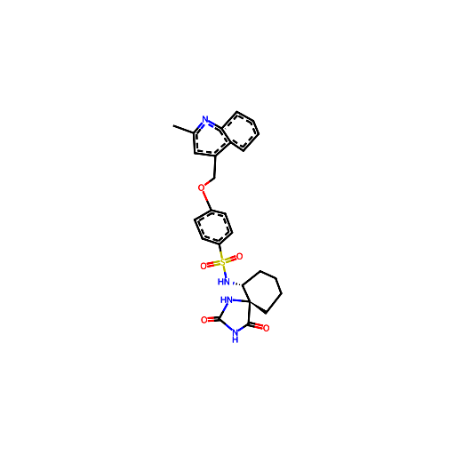 Cc1cc(COc2ccc(S(=O)(=O)N[C@@H]3CCCC[C@@]34NC(=O)NC4=O)cc2)c2ccccc2n1